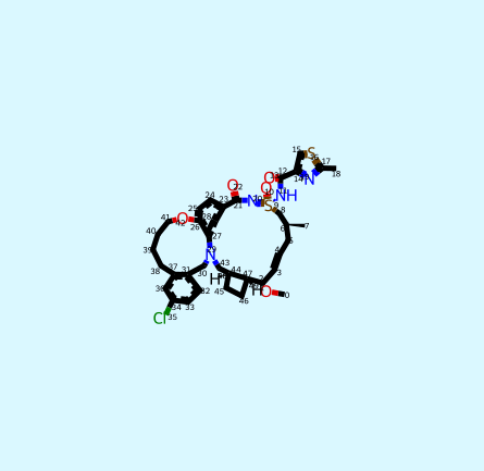 CO[C@H]1/C=C/C[C@H](C)C[S@@](=O)(NC(=O)c2csc(C)n2)=NC(=O)c2ccc3c(c2)N(Cc2ccc(Cl)cc2CCCCO3)C[C@@H]2CC[C@H]21